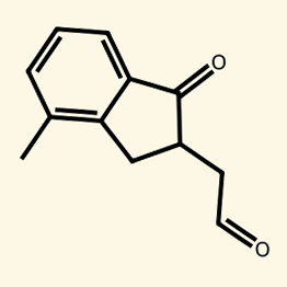 Cc1cccc2c1CC(CC=O)C2=O